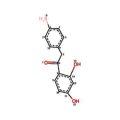 Bc1ccc(CC(=O)c2ccc(O)cc2O)cc1